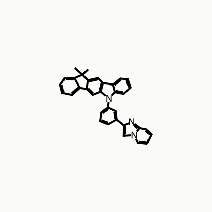 CC1(C)c2ccccc2-c2cc3c(cc21)c1ccccc1n3-c1cccc(-c2cn3ccccc3n2)c1